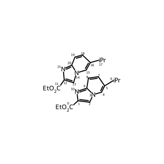 CCOC(=O)c1cn2cc(C(C)C)ccc2n1.CCOC(=O)c1cn2cc(C(C)C)ccc2n1